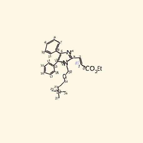 CCOC(=O)/C=C/c1nc(-c2ccccc2)c(-c2ccccc2)n1COCC[Si](C)(C)C